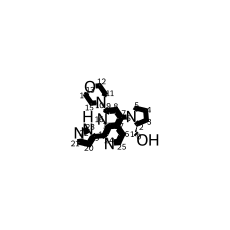 OC[C@H]1CCCN1c1cc(N2CCOCC2)nc2c(-c3ccn[nH]3)nccc12